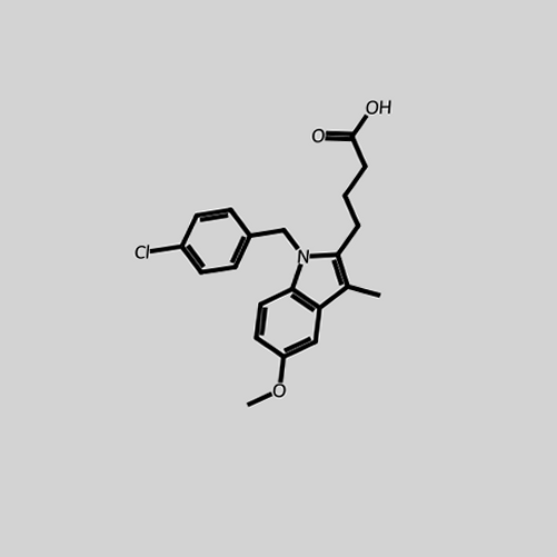 COc1ccc2c(c1)c(C)c(CCCC(=O)O)n2Cc1ccc(Cl)cc1